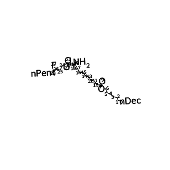 CCCCCCCCCCCCCCCCOC(=O)CCCCCCCCCC(N)C(=O)OCCC(F)CCCCC